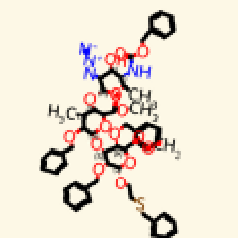 COC(=O)C1O[C@H](O[C@@H]2C(OCc3ccccc3)[C@@H](OCCSCc3ccccc3)OC(C(=O)OC)[C@@H]2OCc2ccccc2)C(OCc2ccccc2)[C@@H](C)[C@H]1O[C@H]1OC(C)[C@H](NC(=O)OCc2ccccc2)[C@H](O)C1N=[N+]=[N-]